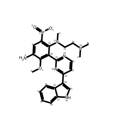 COc1c(N)cc([N+](=O)[O-])c(N(C)CCN(C)C)c1-c1nccc(-c2c[nH]c3ccccc23)n1